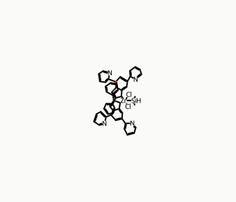 C[SiH](C)[Zr]([Cl])([Cl])([CH]1C(c2ccccc2)=Cc2c(-c3ccccn3)cc(-c3ccccn3)cc21)[CH]1C(c2ccccc2)=Cc2c(-c3ccccn3)cc(-c3ccccn3)cc21